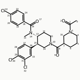 CC(=O)N1CCCC(C(=O)N2CC[C@@H](N(C)C(=O)c3ccc(Cl)cc3)[C@H](c3ccc(Cl)c(Cl)c3)C2)C1